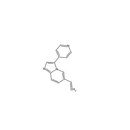 C=Cc1ccc2ncc(-c3ccncc3)n2c1